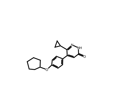 O=c1cc(-c2ccc(OC3CCCCC3)cc2)c(C2CC2)n[nH]1